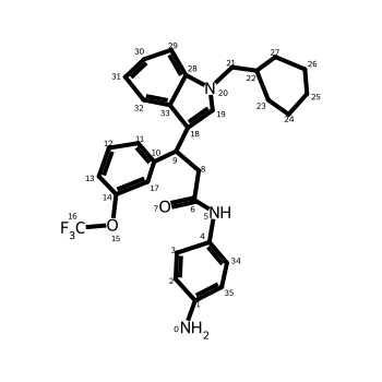 Nc1ccc(NC(=O)CC(c2cccc(OC(F)(F)F)c2)c2cn(CC3CCCCC3)c3ccccc23)cc1